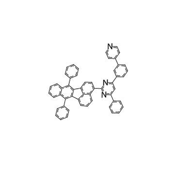 c1ccc(-c2cc(-c3cccc(-c4ccncc4)c3)nc(-c3ccc4c5c(cccc35)-c3c-4c(-c4ccccc4)c4ccccc4c3-c3ccccc3)n2)cc1